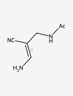 CC(=O)NC/C(C#N)=C/N